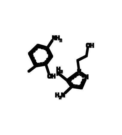 Cc1ccc(N)cc1O.Nc1cnn(CCO)c1N